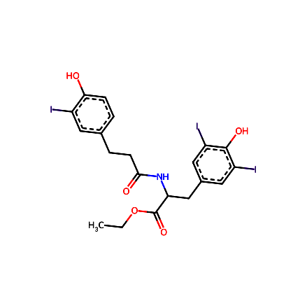 CCOC(=O)C(Cc1cc(I)c(O)c(I)c1)NC(=O)CCc1ccc(O)c(I)c1